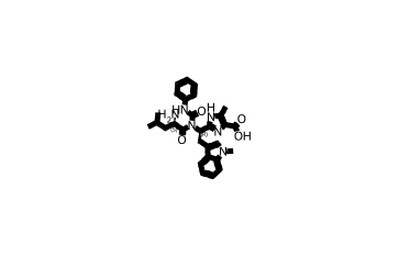 Cc1[nH]c([C@@H](Cc2cn(C)c3ccccc23)N(C(=O)Nc2ccccc2)C(=O)[C@@H](N)CC(C)C)nc1C(=O)O